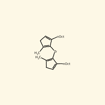 CCCCCCCCC1=CCC(C)=[C]1[Zr][C]1=C(C)CC=C1CCCCCCCC